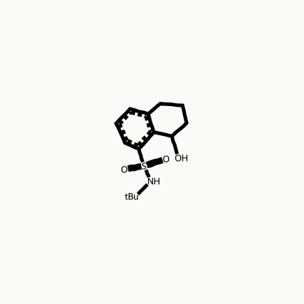 CC(C)(C)NS(=O)(=O)c1cccc2c1C(O)CCC2